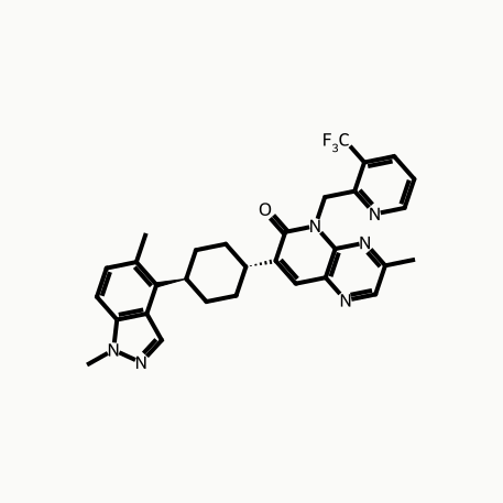 Cc1cnc2cc([C@H]3CC[C@H](c4c(C)ccc5c4cnn5C)CC3)c(=O)n(Cc3ncccc3C(F)(F)F)c2n1